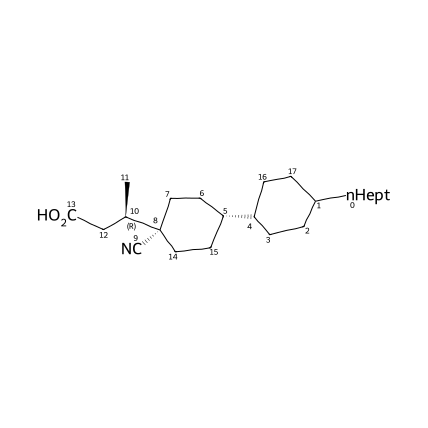 CCCCCCCC1CCC([C@H]2CC[C@](C#N)([C@H](C)CC(=O)O)CC2)CC1